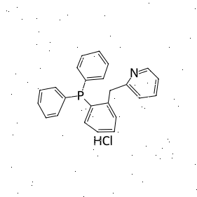 Cl.c1ccc(P(c2ccccc2)c2ccccc2Cc2ccccn2)cc1